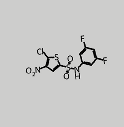 O=[N+]([O-])c1cc(S(=O)(=O)Nc2cc(F)cc(F)c2)sc1Cl